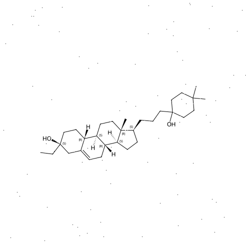 CC[C@]1(O)CC[C@H]2C(=CC[C@@H]3[C@@H]2CC[C@]2(C)[C@@H](CCCC4(O)CCC(C)(C)CC4)CC[C@@H]32)C1